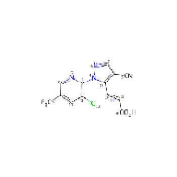 N#Cc1cnn(-c2ncc(C(F)(F)F)cc2Cl)c1/C=C/C(=O)O